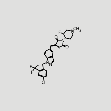 CN1CC[C@H](N2C(=O)SC(=Cc3ccc4c(cnn4Cc4ccc(Cl)cc4C(F)(F)F)c3)C2=O)[C@@H](F)C1